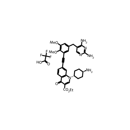 CCOC(=O)c1cn([C@H]2CC[C@H](N)CC2)c2cc(C#Cc3cc(Cc4cnc(N)nc4N)cc(OC)c3OC)ccc2c1=O.O=C(O)C(F)(F)F